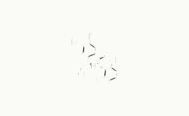 O=C(Nc1c(F)cccc1Cl)c1cc(F)c(Br)cc1OCC(F)(F)F